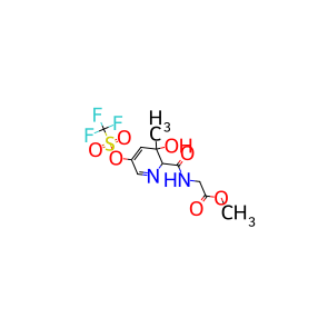 COC(=O)CNC(=O)C1N=CC(OS(=O)(=O)C(F)(F)F)=CC1(C)O